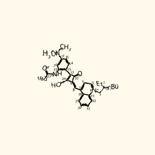 CCCCC(CC)C[n+]1ccc(/C=C2\C(=O)C(c3ccc(N(C)C)cc3NC(=O)C(C)(C)C)=C2O)c2ccccc21